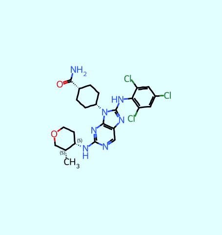 C[C@@H]1COCC[C@@H]1Nc1ncc2nc(Nc3c(Cl)cc(Cl)cc3Cl)n([C@H]3CC[C@@H](C(N)=O)CC3)c2n1